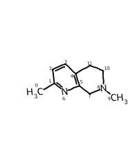 Cc1ccc2c(n1)CN(C)CC2